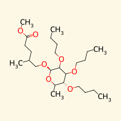 CCCCOC1C(OCCCC)[C@H](OCCCC)C(C)O[C@H]1OCC(C)CCC(=O)OC